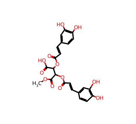 COC(=O)C(OC(=O)C=Cc1ccc(O)c(O)c1)C(OC(=O)C=Cc1ccc(O)c(O)c1)C(=O)O